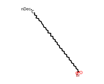 CCCCCCCCCCCCCCCCCCCCCCCCCCCCCCCCCCCCCCCCCCCCCCCCCCCC(=O)OBr